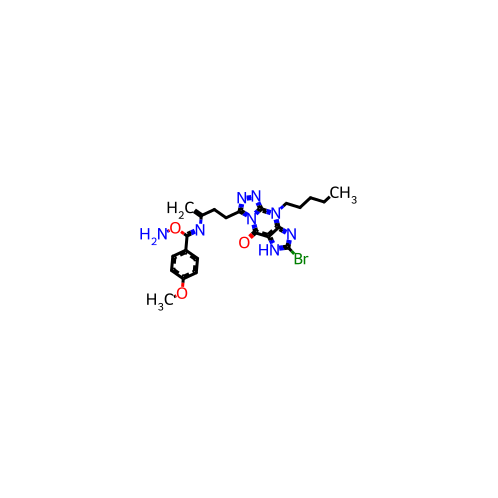 C=C(CCc1nnc2n(CCCCC)c3nc(Br)[nH]c3c(=O)n12)/N=C(\ON)c1ccc(OC)cc1